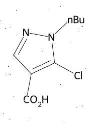 CCCCn1ncc(C(=O)O)c1Cl